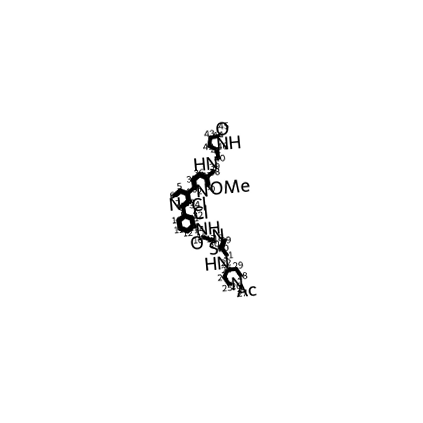 COc1nc(-c2ccnc(-c3cccc(NC(=O)c4ncc(CNC5CCN(C(C)=O)CC5)s4)c3Cl)c2Cl)ccc1CNCC1CCC(=O)N1